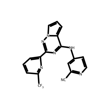 N#Cc1cc(Nc2nc(-c3cccc(C(F)(F)F)n3)nn3cccc23)ccn1